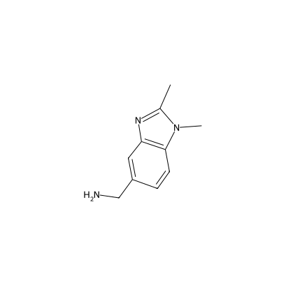 Cc1nc2cc(CN)ccc2n1C